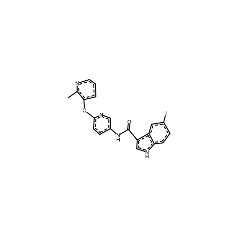 Cc1ncccc1Oc1ccc(NC(=O)c2c[nH]c3ccc(I)cc23)cn1